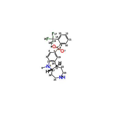 CN1c2ccc(S(=O)(=O)c3ccccc3C(F)(F)F)cc2[C@H]2CCNCC[C@@H]21